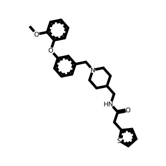 COc1ccccc1Oc1cccc(CN2CCC(CNC(=O)Cc3cccs3)CC2)c1